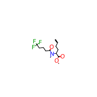 C=CCCC(C(=O)OC)N(C)C(=O)CCCC(F)(F)F